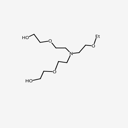 CCOCCN(CCOCCO)CCOCCO